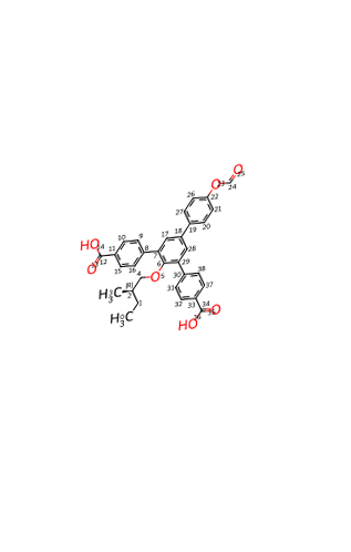 CC[C@@H](C)COc1c(-c2ccc(C(=O)O)cc2)cc(-c2ccc(OC=O)cc2)cc1-c1ccc(C(=O)O)cc1